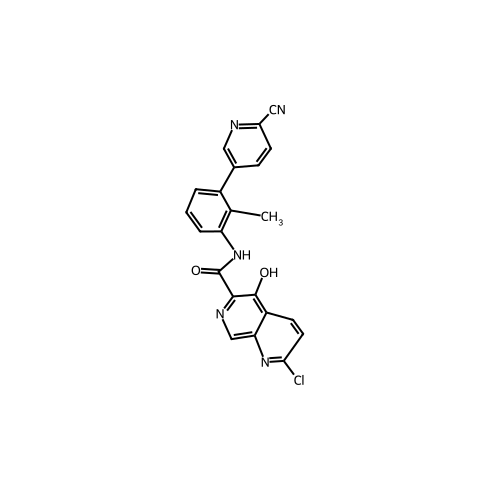 Cc1c(NC(=O)c2ncc3nc(Cl)ccc3c2O)cccc1-c1ccc(C#N)nc1